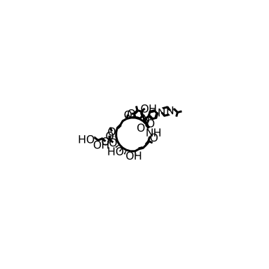 CO[C@H]1/C=C/C[C@@]2(C)Oc3c(C)c(O)c4c(=O)c(c5oc6cc(N7CCN(CC(C)C)CC7)ccc6nc-5c4c3C2=O)NC(=O)/C(C)=C\C=C\[C@H](C)C(O)[C@@H](C)[C@@H](O)[C@@H](C)[C@H](OC(=O)OCC(O)CO)[C@@H]1C